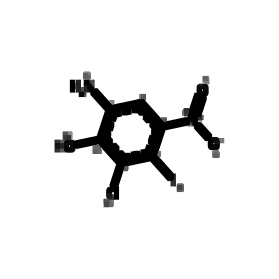 Nc1cc([N+](=O)[O-])c(I)c(Cl)c1O